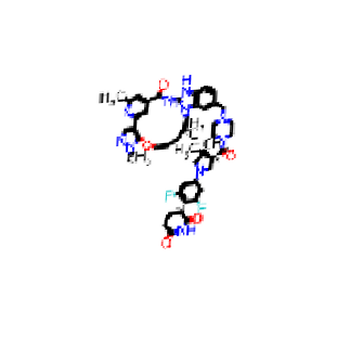 Cc1cc2cc(n1)-c1cnn(C)c1OCCC[C@@H](C)CN1/C(=N/C2=O)Nc2ccc(CN3CCN(C(=O)[C@H]4CN(c5cc(F)c([C@H]6CCC(=O)NC6=O)c(F)c5)CC4(C)C)CC3)cc21